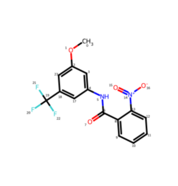 COc1cc(NC(=O)c2ccccc2[N+](=O)[O-])cc(C(F)(F)F)c1